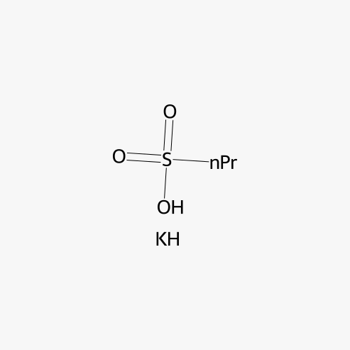 CCCS(=O)(=O)O.[KH]